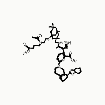 CC(=O)N(CCCC(=O)O)CCOC12CC(C)(C)CC(C)(CC(C)(CN/C(C)=C(\C=N)c3ccc(N4CCc5cccc(-c6nc7ccccc7s6)c5C4)nc3C(=O)O)C1)C2